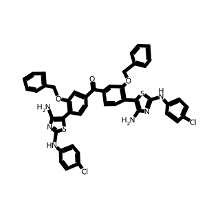 Nc1nc(Nc2ccc(Cl)cc2)sc1-c1ccc(C(=O)c2ccc(-c3sc(Nc4ccc(Cl)cc4)nc3N)c(OCc3ccccc3)c2)cc1OCc1ccccc1